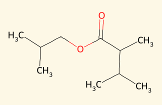 CC(C)COC(=O)C(C)C(C)C